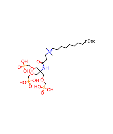 CCCCCCCCCCCCCCCCCC[N+](C)(C)CCC(=O)NC(COCP(=O)(O)O)(COCP(=O)(O)O)COCP(=O)(O)O